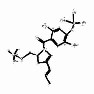 C/C=C/C1=CN(C(=O)c2cc(OC)c(O[Si](CCC)(CCC)CCC)cc2[N+](=O)[O-])[C@H](CO[Si](C)(C)C(C)(C)C)C1